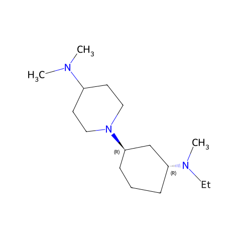 CCN(C)[C@@H]1CCC[C@@H](N2CCC(N(C)C)CC2)C1